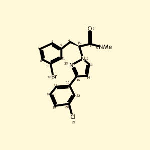 CNC(=O)[C@H](Cc1cccc(Br)c1)n1ccc(-c2cccc(Cl)c2)n1